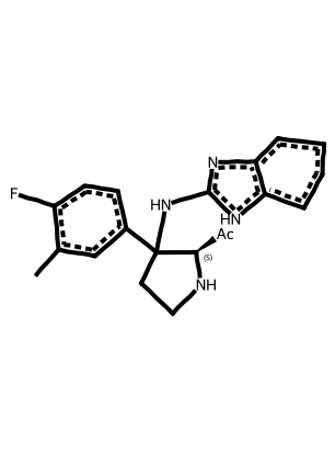 [CH2]C(=O)[C@H]1NCCC1(Nc1nc2ccccc2[nH]1)c1ccc(F)c(C)c1